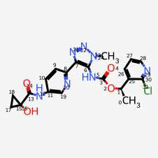 C[C@@H](OC(=O)Nc1c(-c2ccc(NC(=O)C3(O)CC3)cn2)nnn1C)c1cccnc1Cl